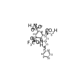 CN(CCC(CSc1ccccc1)Nc1ccc(S(N)(=O)=O)cc1S(=O)(=O)C(F)(F)F)C(=O)O